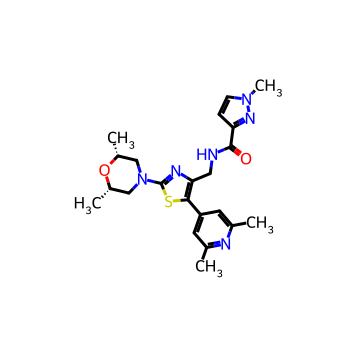 Cc1cc(-c2sc(N3C[C@@H](C)O[C@@H](C)C3)nc2CNC(=O)c2ccn(C)n2)cc(C)n1